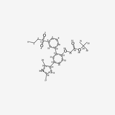 CCCS(=O)(=O)c1cccc(-c2cc(-c3sc(C)nc3C)ccc2OCC(=O)OC(C)(C)C)c1